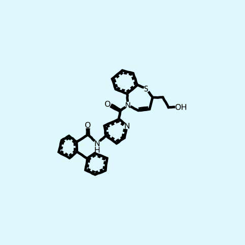 O=C(Nc1ccnc(C(=O)N2C=CC(CCO)Sc3ccccc32)c1)c1ccccc1-c1ccccc1